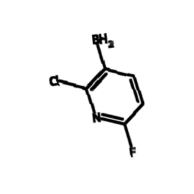 Bc1ccc(F)nc1Cl